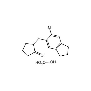 O=C(O)O.O=C1CCCC1Cc1cc2c(cc1Cl)CCC2